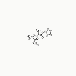 Cc1oc(C(=O)C(=O)NC2CCCC2)cc1C=O